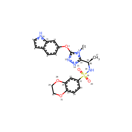 CCn1c(Oc2ccc3cc[nH]c3c2)nnc1[C@@H](C)NS(=O)(=O)c1ccc2c(c1)OCCO2